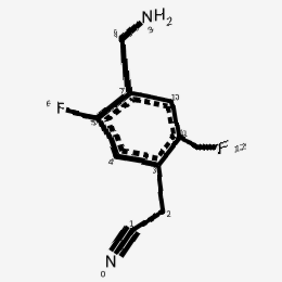 N#CCc1cc(F)c(CN)cc1F